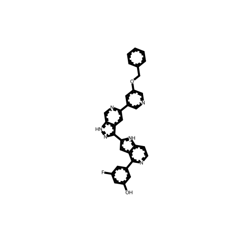 Oc1cc(F)cc(-c2nccc3[nH]c(-c4n[nH]c5cnc(-c6cncc(OCc7ccccc7)c6)cc45)cc23)c1